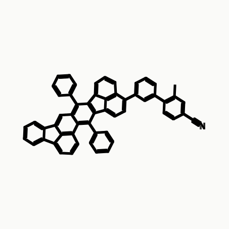 Cc1cc(C#N)ccc1-c1cccc(-c2ccc3c4c(-c5ccccc5)c5c(cc6c7ccccc7c7cccc5c76)c(-c5ccccc5)c4c4cccc2c43)c1